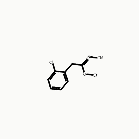 CCOC(Cc1ccccc1Cl)=NC#N